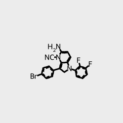 N#CN1C(N)=CC=C2C1=C(c1ccc(Br)cc1)CN2c1cccc(F)c1F